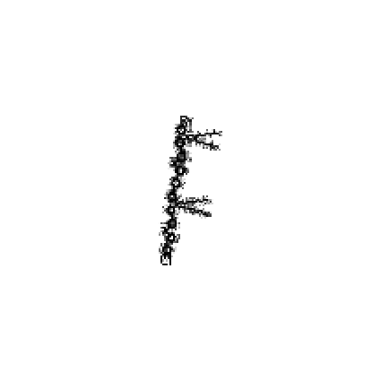 CCCCCCCCC1(CCCCCCCC)c2cc(Br)ccc2-c2ccc(-c3ccc4c(c3)C(C)(C)c3cc(-c5ccc(-c6ccc7c(c6)C(CCCCCCCC)(CCCCCCCC)c6cc(-c8ccc9c(c8)C(C)(C)c8cc(-c%10ccc(Cl)cc%10)ccc8-9)ccc6-7)cc5)ccc3-4)cc21